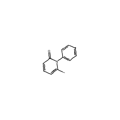 Cc1cccc(=O)n1-c1ccccc1